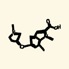 Cc1cc(OC2CCN(C)C2)cc2cc(C(=O)O)n(C)c12